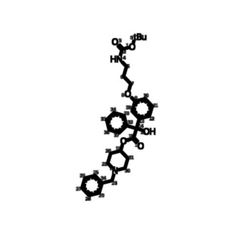 CC(C)(C)OC(=O)NCCCOc1cccc(C(O)(C(=O)OC2CCN(Cc3ccccc3)CC2)c2ccccc2)c1